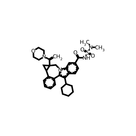 C=C(N1CCOCC1)C12CC1c1ccccc1-c1c(C3CCCCC3)c3ccc(C(=O)NS(=O)(=O)N(C)C)cc3n1C2